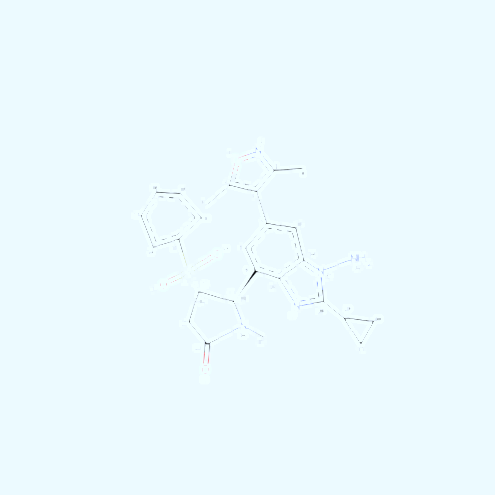 Cc1noc(C)c1-c1cc([C@@H]2[C@@H](S(=O)(=O)c3ccccc3)CC(=O)N2C)c2nc(C3CC3)n(N)c2c1